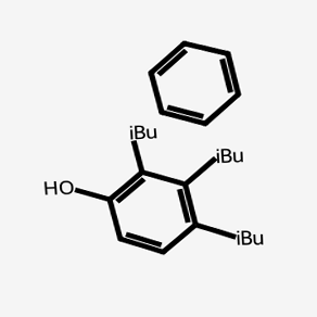 CCC(C)c1ccc(O)c(C(C)CC)c1C(C)CC.c1ccccc1